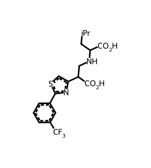 CC(C)CC(NCC(C(=O)O)c1csc(-c2cccc(C(F)(F)F)c2)n1)C(=O)O